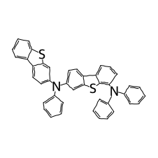 c1ccc(N(c2ccc3c(c2)sc2ccccc23)c2ccc3c(c2)sc2c(N(c4ccccc4)c4ccccc4)cccc23)cc1